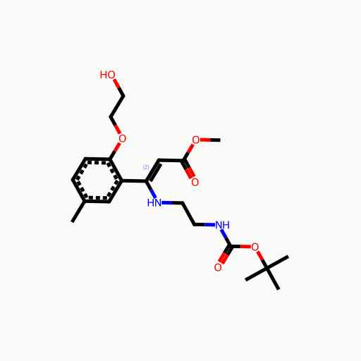 COC(=O)/C=C(\NCCNC(=O)OC(C)(C)C)c1cc(C)ccc1OCCO